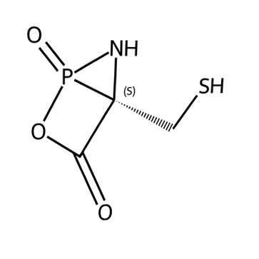 O=C1OP2(=O)N[C@@]12CS